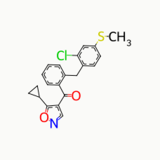 CSc1ccc(Cc2ccccc2C(=O)c2cnoc2C2CC2)c(Cl)c1